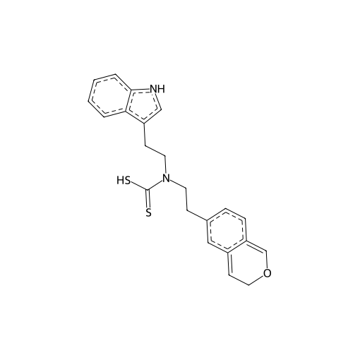 S=C(S)N(CCc1ccc2c(c1)=CCOC=2)CCc1c[nH]c2ccccc12